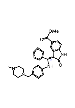 COC(=O)c1ccc2c(c1)/C(=C(/Nc1ccc(CN3CCN(C)CC3)cc1)c1ccccc1)C(=O)N2